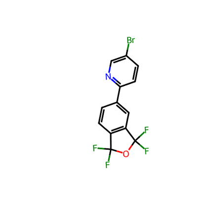 FC1(F)OC(F)(F)c2cc(-c3ccc(Br)cn3)ccc21